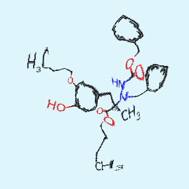 CCCCOC(=O)[C@](C)(Cc1ccc(O)c(OCCCC)c1)N(Cc1ccccc1)NC(=O)OCc1ccccc1